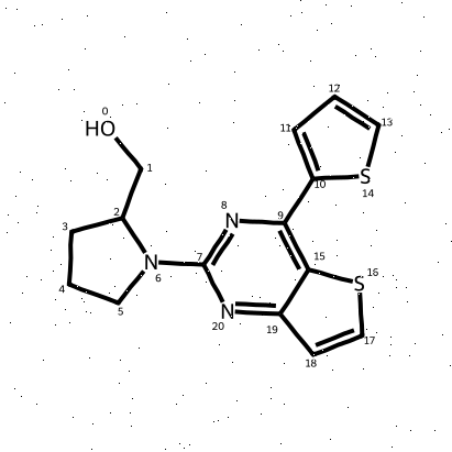 OCC1CCCN1c1nc(-c2cccs2)c2sccc2n1